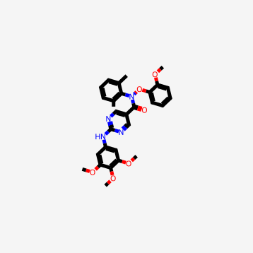 COc1ccccc1ON(C(=O)c1cnc(Nc2cc(OC)c(OC)c(OC)c2)nc1)c1c(C)cccc1C